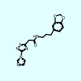 O=C(Cc1nc(-n2ccnc2)ns1)NCCCc1ccc2c(c1)OCO2